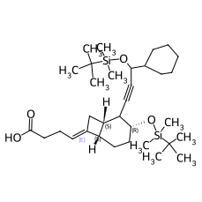 CC(C)(C)[Si](C)(C)OC(C#CC1[C@H]2C/C(=C\CCC(=O)O)[C@H]2CC[C@H]1O[Si](C)(C)C(C)(C)C)C1CCCCC1